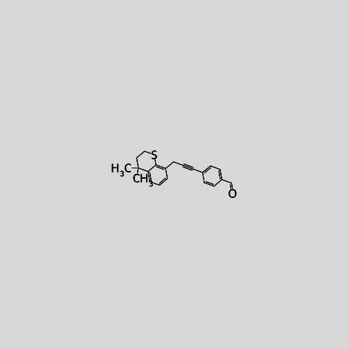 CC1(C)CCSc2c(CC#Cc3ccc(C=O)cc3)cccc21